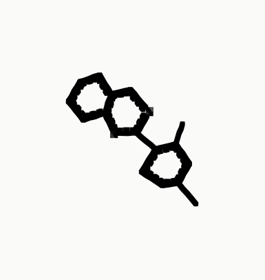 Cc1ccc(-c2ncc3ccccc3n2)c(C)c1